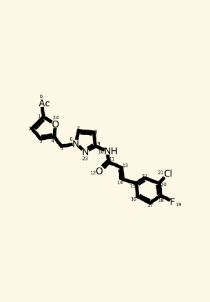 CC(=O)c1ccc(Cn2ccc(NC(=O)/C=C/c3ccc(F)c(Cl)c3)n2)o1